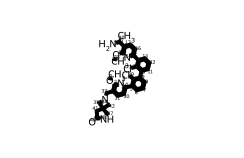 COc1nc(-c2cccc(-c3cccc(-c4ccc([C@H](C)N)c(OC)n4)c3Cl)c2Cl)ccc1CN1CC2(CNC(=O)C2)C1